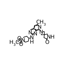 Cc1cc2cnc(NC3CCN(S(C)(=O)=O)CC3)nc2c(N2CC3(CNC(=O)C3)C2)n1